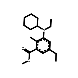 CCc1cc(C(=O)OC)c(C)c(N(CC)C2CCCCC2)c1